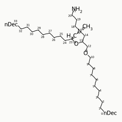 CCCCCCCCCCCCCCCCCCCCOCC(C[N+](C)(C)CCCN)OCCCCCCCCCCCCCCCCCCCC